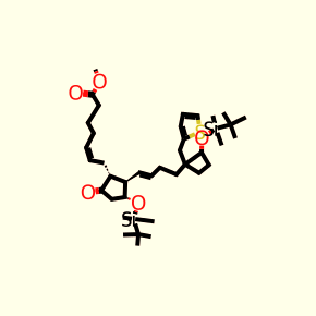 COC(=O)CCC/C=C\C[C@H]1C(=O)C[C@@H](O[Si](C)(C)C(C)(C)C)[C@@H]1/C=C/CCC1(Cc2cccs2)CCC1O[Si](C)(C)C(C)(C)C